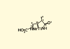 C[C@H]1C(=O)Nc2[nH]c(C(=O)O)cc21